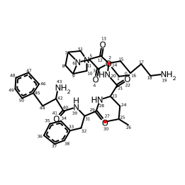 CCOC(=O)CN1C2CC1CN(C(=O)C(CCCCN)NC(=O)C(CC(C)C)NC(=O)C(Cc1ccccc1)NC(=O)C(N)Cc1ccccc1)C2